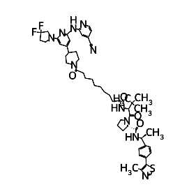 Cc1ncsc1-c1ccc([C@H](C)NC(=O)[C@@H]2CCCN2C(=O)[C@@H](NC(=O)CCCCCCCCC(=O)N2CCC(c3cc(Nc4cc(C#N)ccn4)nc(N4CCC(F)(F)C4)c3)CC2)C(C)(C)C)cc1